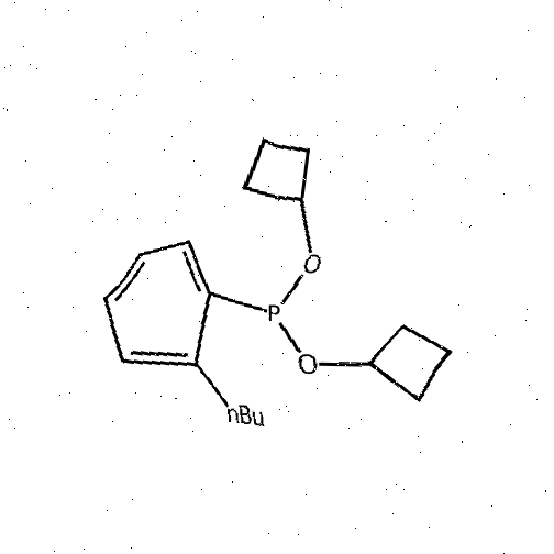 CCCCc1ccccc1P(OC1CCC1)OC1CCC1